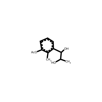 CC(=O)Oc1cccc(C(O)C(C)O)c1C